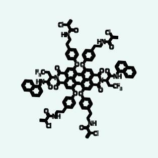 C=C(Cl)C(=O)NCCc1ccc(Oc2cc3c4c(cc(Oc5ccc(CCNC(=O)C(=C)Cl)cc5)c5c6c(Oc7ccc(CCNC(=O)C(=C)Cl)cc7)cc7c8c(cc(Oc9ccc(CCNC(=O)C(=C)Cl)cc9)c(c2c45)c86)C(=O)N(C(CC(F)(F)F)C(=O)Nc2cccc4ccccc24)C7=O)C(=O)N(C(CC(F)(F)F)C(=O)Nc2cccc4ccccc24)C3=O)cc1